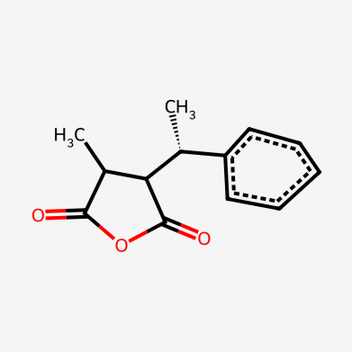 CC1C(=O)OC(=O)C1[C@H](C)c1ccccc1